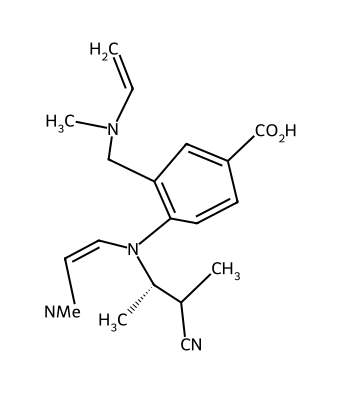 C=CN(C)Cc1cc(C(=O)O)ccc1N(/C=C\NC)[C@@H](C)C(C)C#N